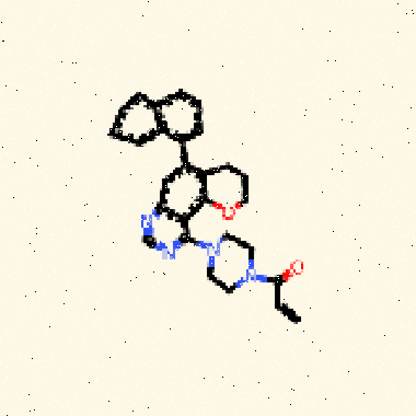 C=CC(=O)N1CCN(c2ncnc3cc(-c4cccc5ccccc45)c4c(c23)OCCC4)CC1